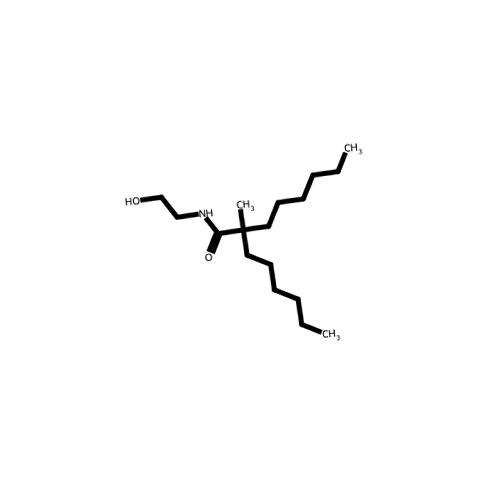 CCCCCCC(C)(CCCCCC)C(=O)NCCO